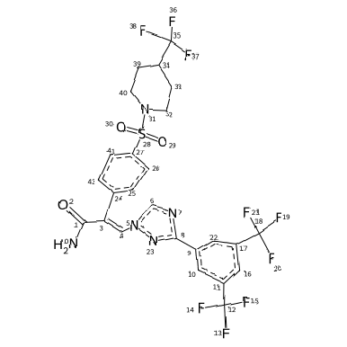 NC(=O)/C(=C/n1cnc(-c2cc(C(F)(F)F)cc(C(F)(F)F)c2)n1)c1ccc(S(=O)(=O)N2CCC(C(F)(F)F)CC2)cc1